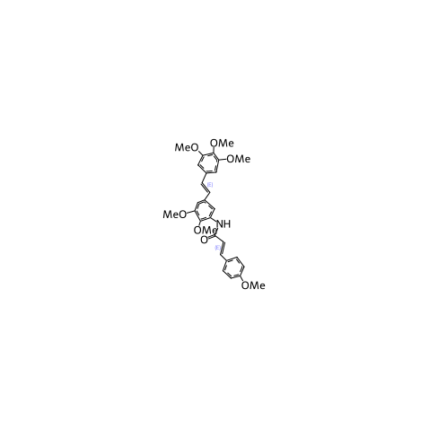 COc1ccc(/C=C/C(=O)Nc2cc(/C=C/c3cc(OC)c(OC)c(OC)c3)cc(OC)c2OC)cc1